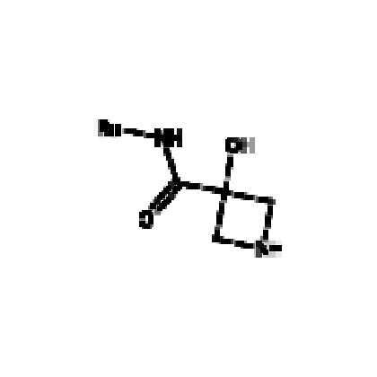 CCC(C)NC(=O)C1(O)CNC1